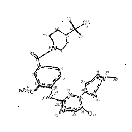 COc1cc(C(=O)N2CCC(C(C)(C)O)CC2)ccc1Nc1ncc(Cl)c(-c2ccn(C)n2)n1